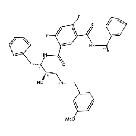 COc1cccc(CNC[C@@H](O)[C@H](Cc2ccccc2)NC(=O)c2cc(C(=O)N[C@H](C)c3ccccc3)c(F)cc2F)c1